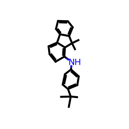 CC(C)(C)c1ccc(Nc2cccc3c2C(C)(C)c2ccccc2-3)cc1